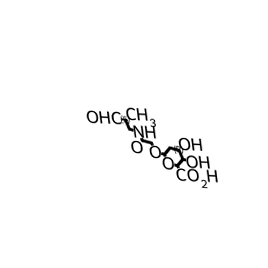 C[C@H](C=O)CNC(=O)COC1C[C@@H](O)C(O)C(C(=O)O)O1